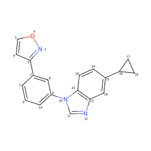 c1cc(-c2ccon2)cc(-n2cnc3cc(C4CC4)ccc32)c1